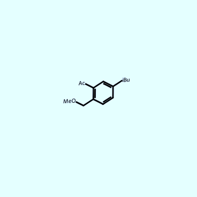 CCC(C)c1ccc(COC)c(C(C)=O)c1